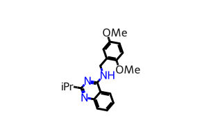 COc1ccc(OC)c(CNc2nc(C(C)C)nc3ccccc23)c1